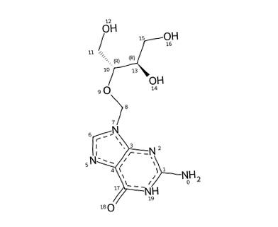 Nc1nc2c(ncn2CO[C@H](CO)[C@H](O)CO)c(=O)[nH]1